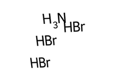 Br.Br.Br.N